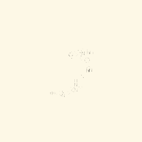 CCCC(c1ccc(-c2cnn(CCN3CCC(C(=O)Nc4ncc(SCc5ncc(C(C)(C)C)o5)s4)CC3)c2)cc1)N(C)C(=O)/C(C#N)=C/c1nccs1